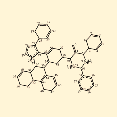 C=C1C(C2C=CC=CC2)NC(c2ccccc2)NC1C1CC=C(c2[nH]ccc2C2C=CC=CC2)C(C2CC3C=CCCC3C3=C2C=CCC3)C1